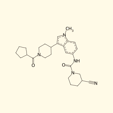 Cn1cc(C2CCN(C(=O)C3CCCC3)CC2)c2cc(NC(=O)N3CCCC(C#N)C3)ccc21